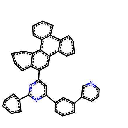 c1ccc(-c2nc(-c3cccc(-c4cccnc4)c3)cc(-c3cc4c5ccccc5c5ccccc5c4c4ccccc34)n2)cc1